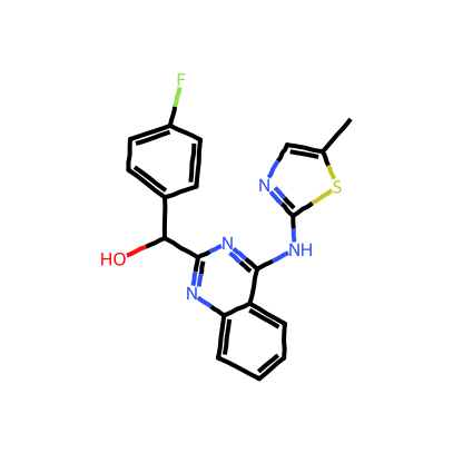 Cc1cnc(Nc2nc(C(O)c3ccc(F)cc3)nc3ccccc23)s1